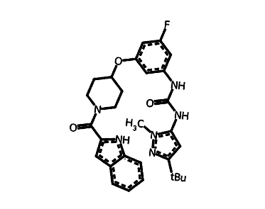 Cn1nc(C(C)(C)C)cc1NC(=O)Nc1cc(F)cc(OC2CCN(C(=O)c3cc4ccccc4[nH]3)CC2)c1